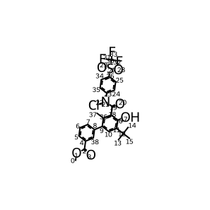 COC(=O)c1cccc(-c2cc(C(C)(C)C)c(O)c(C(=O)N(Cl)c3ccc(S(=O)(=O)C(F)(F)F)cc3)c2C)c1